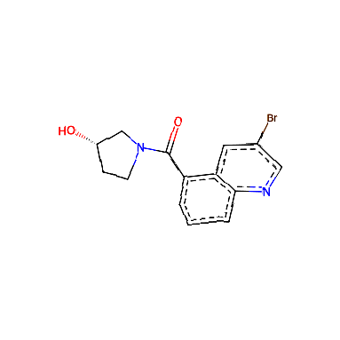 O=C(c1cccc2ncc(Br)cc12)N1CC[C@H](O)C1